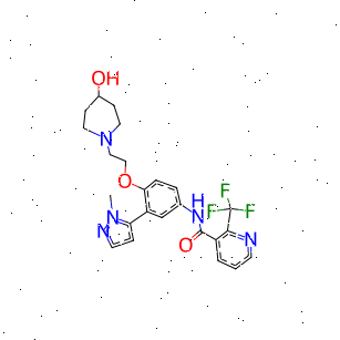 Cn1nccc1-c1cc(NC(=O)c2cccnc2C(F)(F)F)ccc1OCCN1CCC(O)CC1